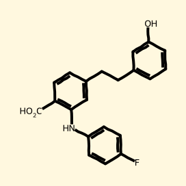 O=C(O)c1ccc(CCc2cccc(O)c2)cc1Nc1ccc(F)cc1